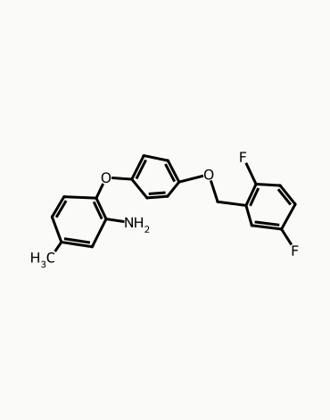 Cc1ccc(Oc2ccc(OCc3cc(F)ccc3F)cc2)c(N)c1